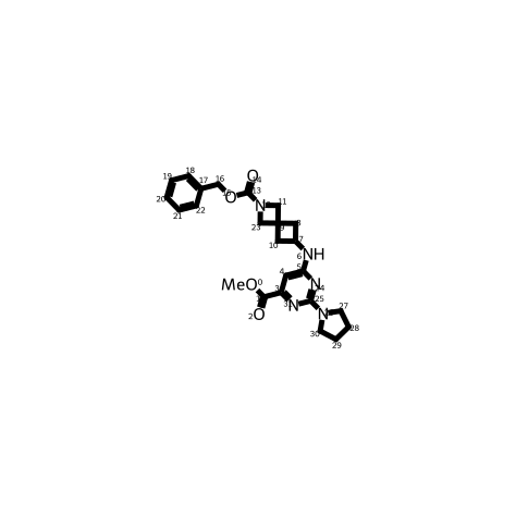 COC(=O)c1cc(NC2CC3(C2)CN(C(=O)OCc2ccccc2)C3)nc(N2CCCC2)n1